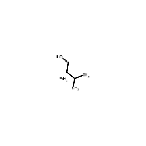 CC(C)CCO.[PbH2]